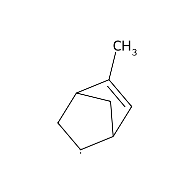 CC1=CC2[CH]CC1C2